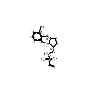 C=CS(=O)(=O)NC[C@H]1CCN(Cc2c(C)cccc2F)C1